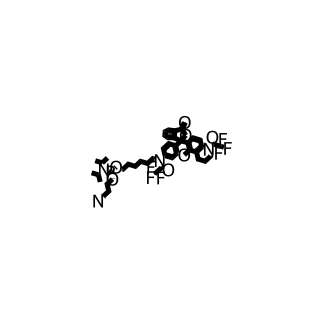 CC(C)N(C(C)C)P(OCCC#N)OCCCCCCN(C(=O)C(F)(F)F)c1ccc2c(c1)Oc1c(ccc3c1CCCN3C(=O)C(F)(F)F)C21OC(=O)c2ccccc21